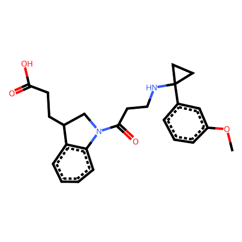 COc1cccc(C2(NCCC(=O)N3CC(CCC(=O)O)c4ccccc43)CC2)c1